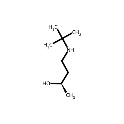 C[C@@H](O)CCNC(C)(C)C